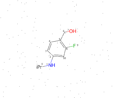 CC(C)Nc1ccc(CO)c(F)c1